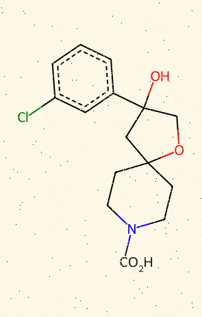 O=C(O)N1CCC2(CC1)CC(O)(c1cccc(Cl)c1)CO2